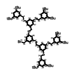 CC(C)(C)c1cc(CSc2cc(CSc3cc(CBr)cc(SCc4cc(SCc5cc(C(C)(C)C)cc(C(C)(C)C)c5)cc(SCc5cc(C(C)(C)C)cc(C(C)(C)C)c5)c4)c3)cc(SCc3cc(C(C)(C)C)cc(C(C)(C)C)c3)c2)cc(C(C)(C)C)c1